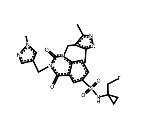 Cc1noc(C)c1Cn1c(=O)n(Cc2cnn(C)c2)c(=O)c2cc(S(=O)(=O)NC3(CF)CC3)ccc21